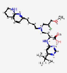 COCC(F)CN(CCCCc1ccc2c(n1)NCCC2)CCC(Nc1cc(C(C)(C)C)ncn1)C(=O)O